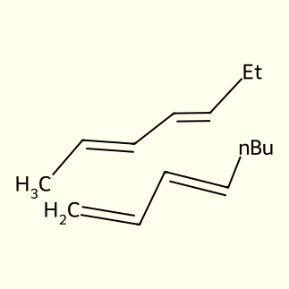 C=CC=CCCCC.CC=CC=CCC